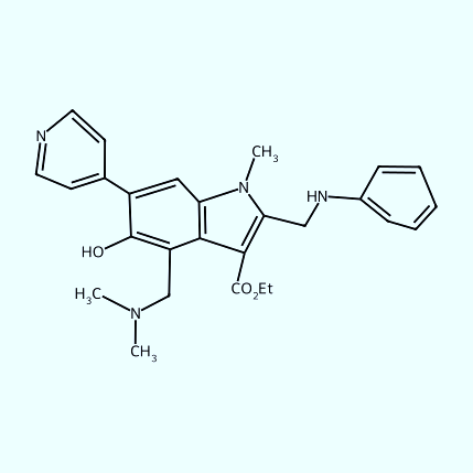 CCOC(=O)c1c(CNc2ccccc2)n(C)c2cc(-c3ccncc3)c(O)c(CN(C)C)c12